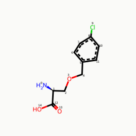 N[C@@H](COCc1ccc(Cl)cc1)C(=O)O